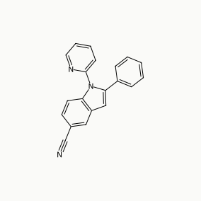 N#Cc1ccc2c(c1)cc(-c1ccccc1)n2-c1ccccn1